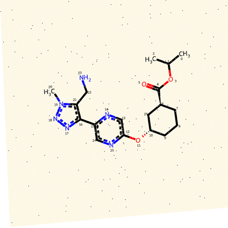 CC(C)OC(=O)[C@H]1CCC[C@H](Oc2cnc(-c3nnn(C)c3CN)cn2)C1